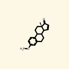 C[C@]12CCC3c4ccc(OP)cc4CCC3C1C=CC2=O